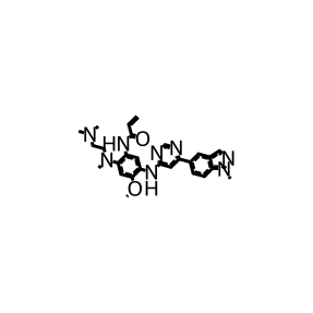 C=CC(=O)Nc1cc(Nc2cc(-c3ccc4c(cnn4C)c3)ncn2)c(OC)cc1N(C)CCN(C)C